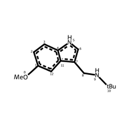 COc1ccc2[nH]cc(CNC(C)(C)C)c2c1